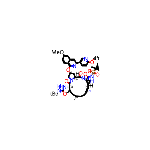 COc1ccc2c(O[C@@H]3C[C@H]4C(=O)N[C@]5(C(=O)NS(=O)(=O)C6(C)CC6)C[C@H]5/C=C\CC[C@H](C)C[C@@H](C)[C@H](NC(=O)NC(C)(C)C)C(=O)N4C3)nc(-c3ccc(OC(C)C)nc3)cc2c1